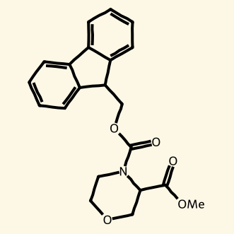 COC(=O)C1COCCN1C(=O)OCC1c2ccccc2-c2ccccc21